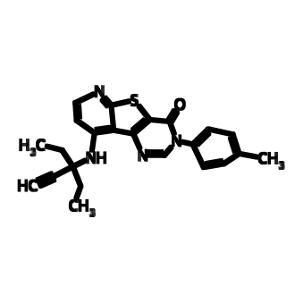 C#CC(CC)(CC)Nc1ccnc2sc3c(=O)n(-c4ccc(C)cc4)cnc3c12